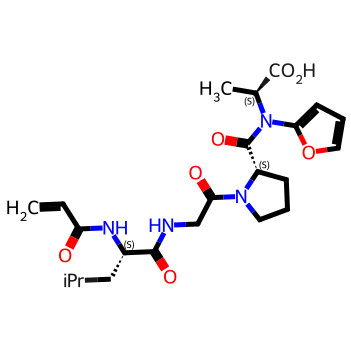 C=CC(=O)N[C@@H](CC(C)C)C(=O)NCC(=O)N1CCC[C@H]1C(=O)N(c1ccco1)[C@@H](C)C(=O)O